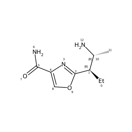 CC[C@@H](c1nc(C(N)=O)co1)[C@@H](C)N